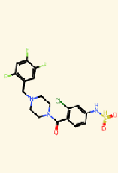 O=C(c1ccc(N[SH](=O)=O)cc1Cl)N1CCN(Cc2cc(F)c(F)cc2F)CC1